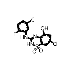 O=S1(=O)NC(Nc2cc(Cl)ccc2F)=Nc2c(O)cc(Cl)cc21